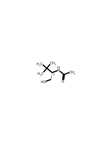 CC(=O)N[C@H](CO)C(C)(C)C